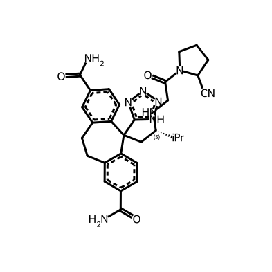 CC(C)[C@H](CC1(c2nnn[nH]2)c2ccc(C(N)=O)cc2CCc2cc(C(N)=O)ccc21)NCC(=O)N1CCCC1C#N